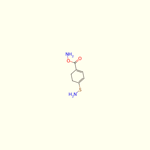 NOC(=O)C1=CC=C(SN)CC1